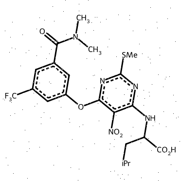 CSc1nc(NC(CC(C)C)C(=O)O)c([N+](=O)[O-])c(Oc2cc(C(=O)N(C)C)cc(C(F)(F)F)c2)n1